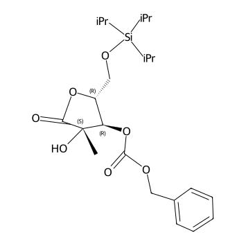 CC(C)[Si](OC[C@H]1OC(=O)[C@@](C)(O)[C@@H]1OC(=O)OCc1ccccc1)(C(C)C)C(C)C